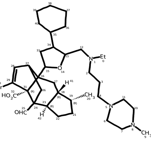 CCN(CCCN1CCN(C)CC1)CC1OC(C23C[C@@H]4[C@H](C)CC[C@H]4C4(C=O)CC2C=C(C(C)C)[C@@]34C(=O)O)CC1C1CCCCC1